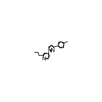 CCCc1cc(-n2ccc(-c3ccc(C)cc3)n2)ccn1